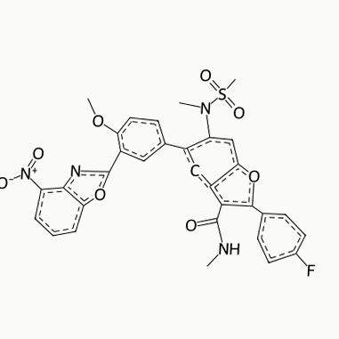 CNC(=O)c1c(-c2ccc(F)cc2)oc2cc(N(C)S(C)(=O)=O)c(-c3ccc(OC)c(-c4nc5c([N+](=O)[O-])cccc5o4)c3)cc12